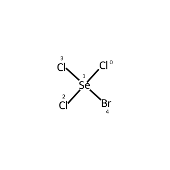 Cl[Se](Cl)(Cl)Br